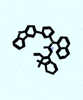 C=CC1=C(/C=C(\C)N(c2cccc(-c3ccc4sc5ccccc5c4c3)c2)c2cccc3ccccc23)C2=C(CCC=C2)C1(C)C